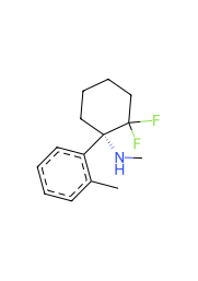 CN[C@]1(c2ccccc2C)CCCCC1(F)F